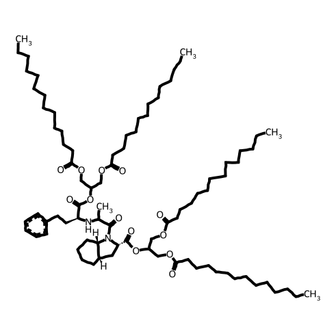 CCCCCCCCCCCCCC(=O)OCC(COC(=O)CCCCCCCCCCCCC)OC(=O)[C@H](CCc1ccccc1)NC(C)C(=O)N1[C@H](C(=O)OC(COC(=O)CCCCCCCCCCCCC)COC(=O)CCCCCCCCCCCCC)C[C@H]2CCCC[C@@H]21